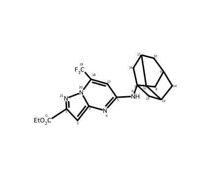 CCOC(=O)c1cc2nc(NC34CC5CC(CC(C5)C3)C4)cc(C(F)(F)F)n2n1